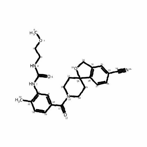 COCCNC(=O)Nc1cc(C(=O)N2CCC3(CC2)OCc2cc(C#N)ccc23)ccc1C